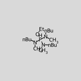 CCCCN(C)[PH](OCC)(N(C)CCCC)N(C)CCCC